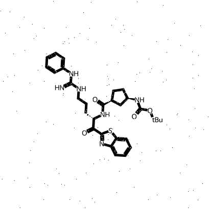 CC(C)(C)OC(=O)N[C@@H]1CC[C@H](C(=O)N[C@@H](CCCNC(=N)Nc2ccccc2)C(=O)c2nc3ccccc3s2)C1